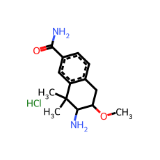 COC1Cc2ccc(C(N)=O)cc2C(C)(C)C1N.Cl